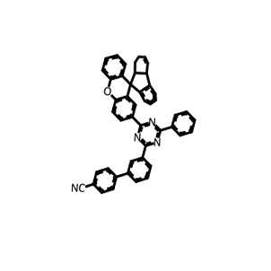 N#Cc1ccc(-c2cccc(-c3nc(-c4ccccc4)nc(-c4ccc5c(c4)C4(c6ccccc6O5)c5ccccc5C5C=CCCC54)n3)c2)cc1